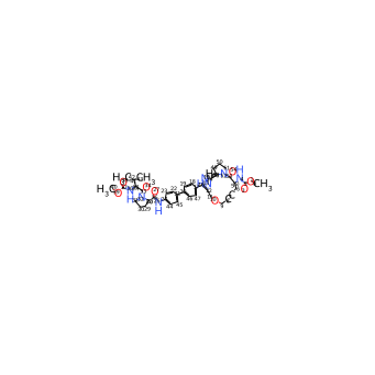 COC(=O)N[C@H]1CCCCOCc2[nH]c(nc2-c2ccc(-c3ccc(NC(=O)[C@@H]4CCCN4C(=O)[C@@H](NC(=O)OC)C(C)C)cc3)cc2)[C@@H]2CCCN2C1=O